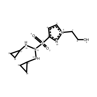 O=S(=O)(c1ccn(CCO)n1)N(PC1CC1)PC1CC1